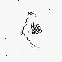 CCCCCCCC/C=C\CCCCCCCCN.CCO.COS(=O)(=O)O